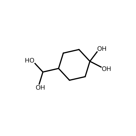 OC(O)C1CCC(O)(O)CC1